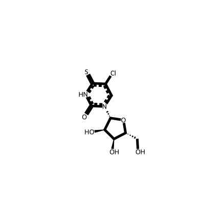 O=c1[nH]c(=S)c(Cl)cn1[C@@H]1O[C@H](CO)[C@@H](O)[C@H]1O